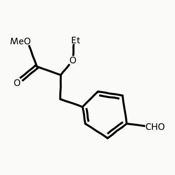 CCOC(Cc1ccc(C=O)cc1)C(=O)OC